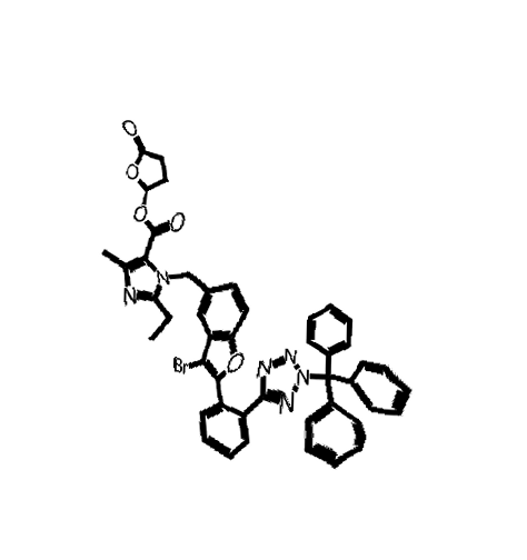 CCc1nc(C)c(C(=O)O[C@@H]2CCC(=O)O2)n1Cc1ccc2oc(-c3ccccc3-c3nnn(C(c4ccccc4)(c4ccccc4)c4ccccc4)n3)c(Br)c2c1